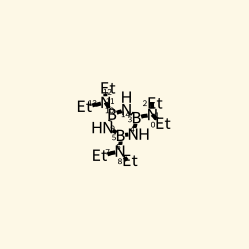 CCN(CC)B1NB(N(CC)CC)NB(N(CC)CC)N1